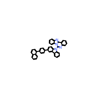 c1ccc2c(-c3ccc(-c4ccc5c(c4)c4ccccc4n5-c4nc5ccccc5c5nc6ccccc6n45)cc3)cccc2c1